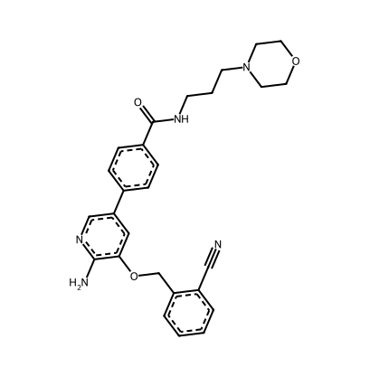 N#Cc1ccccc1COc1cc(-c2ccc(C(=O)NCCCN3CCOCC3)cc2)cnc1N